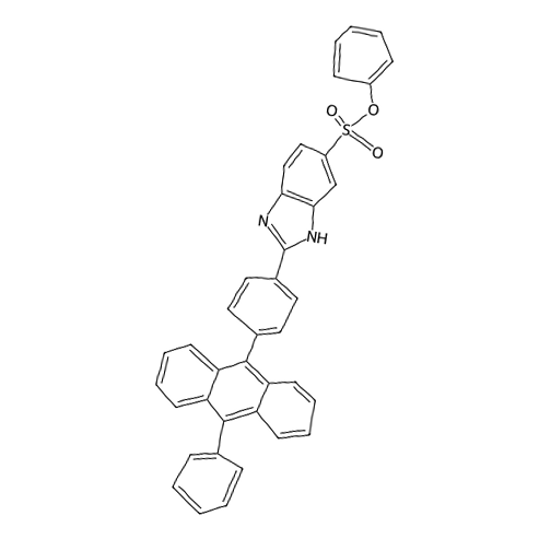 O=S(=O)(Oc1ccccc1)c1ccc2nc(-c3ccc(-c4c5ccccc5c(-c5ccccc5)c5ccccc45)cc3)[nH]c2c1